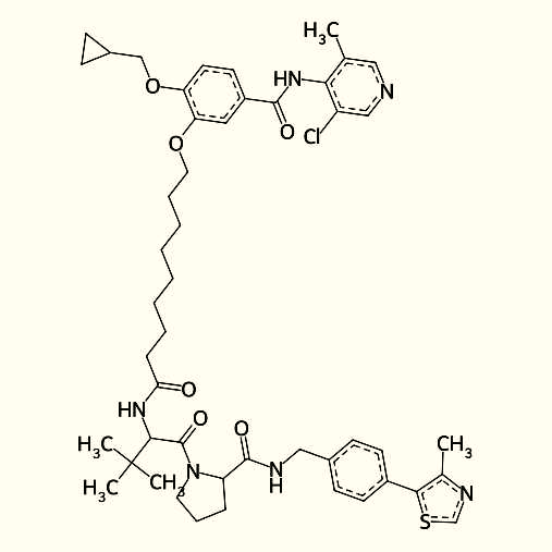 Cc1cncc(Cl)c1NC(=O)c1ccc(OCC2CC2)c(OCCCCCCCCC(=O)NC(C(=O)N2CCCC2C(=O)NCc2ccc(-c3scnc3C)cc2)C(C)(C)C)c1